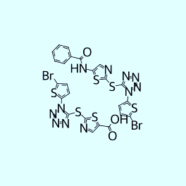 O=C(Nc1cnc(Sc2nnnn2-c2ccc(Br)s2)s1)c1ccccc1.O=C(O)c1cnc(Sc2nnnn2-c2ccc(Br)s2)s1